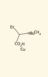 C.CCCCC(CC)C(=O)O.[Cu]